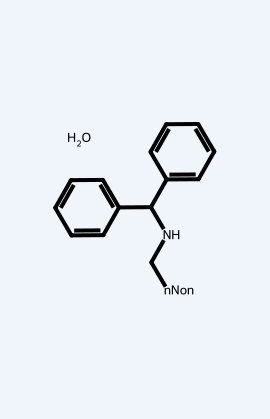 CCCCCCCCCCNC(c1ccccc1)c1ccccc1.O